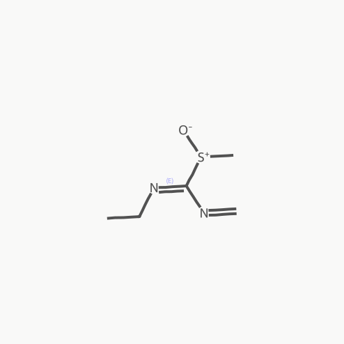 C=N/C(=N\CC)[S+](C)[O-]